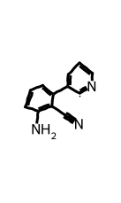 N#Cc1c(N)cccc1-c1[c]nccc1